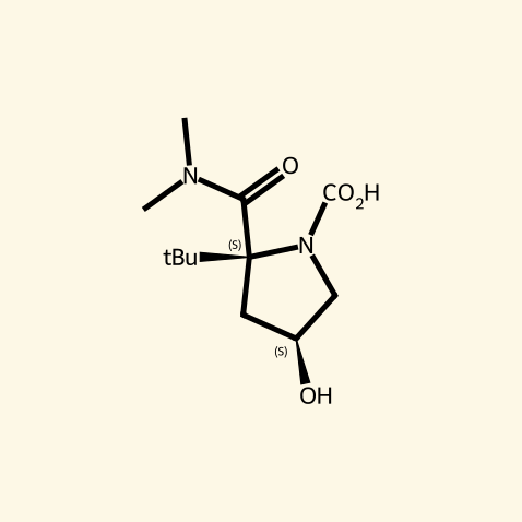 CN(C)C(=O)[C@@]1(C(C)(C)C)C[C@H](O)CN1C(=O)O